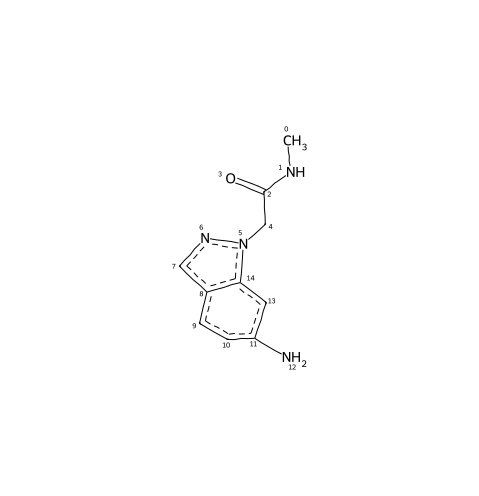 CNC(=O)Cn1ncc2ccc(N)cc21